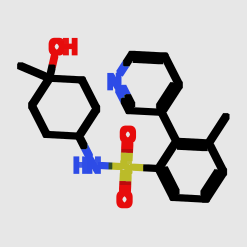 Cc1cccc(S(=O)(=O)NC2CCC(C)(O)CC2)c1-c1cccnc1